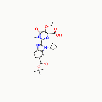 CCOc1c(C(=O)O)nc(-c2nc3ccc(C(=O)OC(C)(C)C)cc3n2C2CCC2)n(C)c1=O